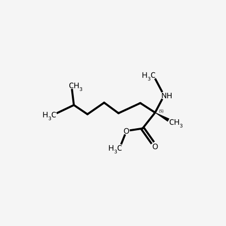 CN[C@@](C)(CCCCC(C)C)C(=O)OC